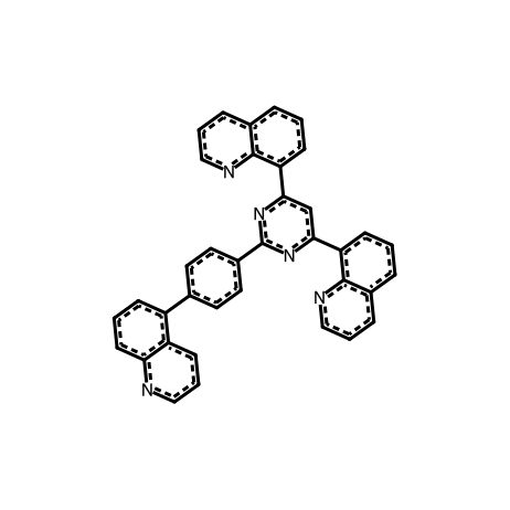 c1cnc2c(-c3cc(-c4cccc5cccnc45)nc(-c4ccc(-c5cccc6ncccc56)cc4)n3)cccc2c1